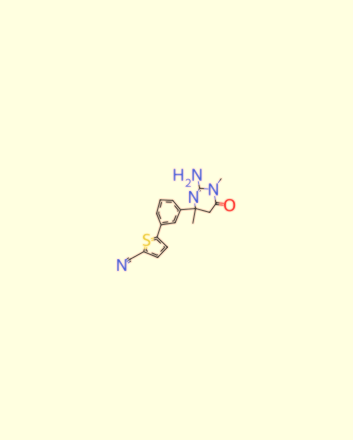 CN1C(=O)CC(C)(c2cccc(-c3ccc(C#N)s3)c2)N=C1N